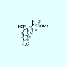 C=Cc1ccc2ccnc(O[C@H]3CN[C@H](C(=O)OC)C3)c2c1.Cl